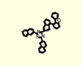 c1ccc2cc(-c3nc(-c4ccc5ccccc5c4)nc(-c4ccc5c(-c6cccc7oc8ccccc8c67)cccc5c4)n3)ccc2c1